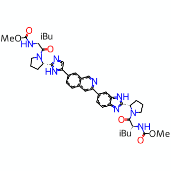 CC[C@H](C)[C@H](NC(=O)OC)C(=O)N1CCC[C@H]1c1ncc(-c2ccc3cc(-c4ccc5nc([C@@H]6CCCN6C(=O)[C@@H](NC(=O)OC)[C@@H](C)CC)[nH]c5c4)ncc3c2)[nH]1